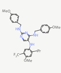 COc1ccc(CNc2ncc(Nc3cc(C(F)(F)F)c(OC)cc3C(C)C)c(NCc3ccc(OC)cc3)n2)cc1